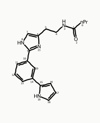 CCCC(=O)NCCc1c[nH]c(-c2cccc(-c3ccc[nH]3)c2)n1